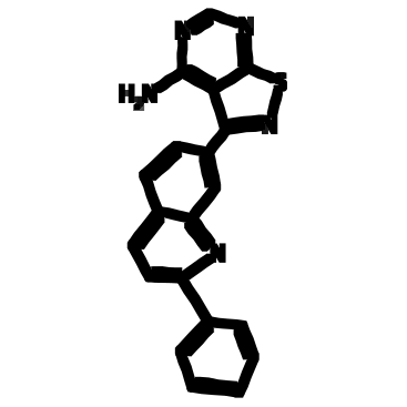 Nc1ncnc2snc(-c3ccc4ccc(-c5ccccc5)nc4c3)c12